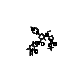 CCN(c1cc(N2CCN(C)CC2)cc(C(=O)NCc2c(C)cc(C)[nH]c2=O)c1C)C1CCN(C(=O)OC(C)(C)C)C1